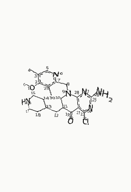 COc1c(C)cnc(CN2CC(CC3CCNCC3)C(=O)c3c(Cl)nc(N)nc32)c1C